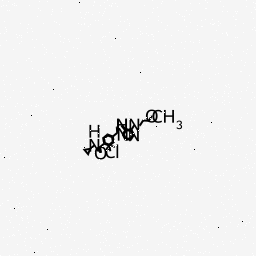 COCCCNc1nccn2c(-c3ccc(C(=O)NC4CC4)c(Cl)c3)cnc12